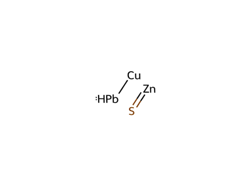 [Cu][PbH].[S]=[Zn]